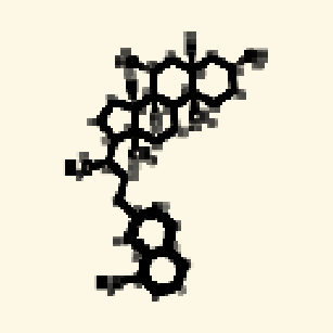 Cc1cccc2cnc(CC[C@@H](C)[C@H]3CC[C@H]4[C@H]5C(CC[C@]34C)[C@@]3(C)CC[C@@H](O)C[C@H]3C[C@H]5O)nc12